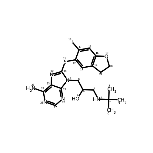 CC(C)(C)NCC(O)Cn1c(Sc2cc3c(cc2I)OCC3)nc2c(N)ncnc21